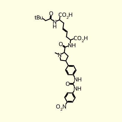 CN1CC(c2ccc(NC(=O)Nc3ccc([N+](=O)[O-])cc3)cc2)CC1C(=O)NC(CC=CCC(NC(=O)CC(C)(C)C)C(=O)O)C(=O)O